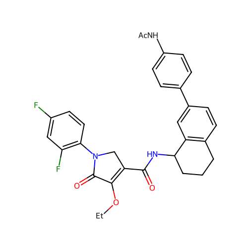 CCOC1=C(C(=O)NC2CCCc3ccc(-c4ccc(NC(C)=O)cc4)cc32)CN(c2ccc(F)cc2F)C1=O